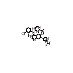 C[C@@H](Oc1cc2c(Nc3cccc(Cl)c3F)ncnc2cc1-c1cnn(C(F)F)c1)c1ncccn1